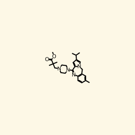 COC(=O)C(C)(C)CN1CCN(C2=Nc3ccc(C)cc3Cn3cc(C(C)C)cc32)CC1